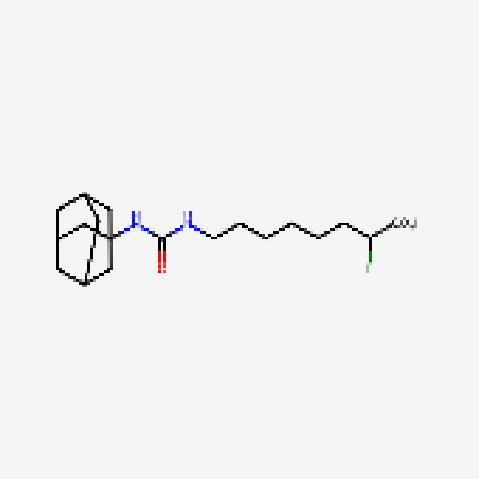 O=C(NCCCCCCC(F)C(=O)O)NC12CC3CC(CC(C3)C1)C2